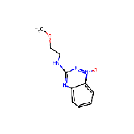 COCCNc1nc2ccccc2[n+]([O-])n1